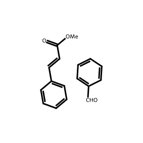 COC(=O)/C=C/c1ccccc1.O=Cc1ccccc1